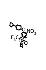 O=[N+]([O-])c1ccc(C(OP(=O)(N2CC2)N2CC2)C(F)(F)F)cc1Oc1ccc(C2CCCC2)cc1